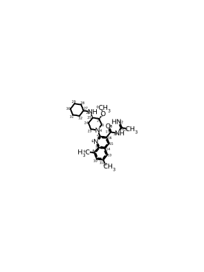 CO[C@H]1CN(c2nc3c(C)cc(C)cc3cc2C(=O)NC(C)=N)CC[C@H]1NC1CCCCC1